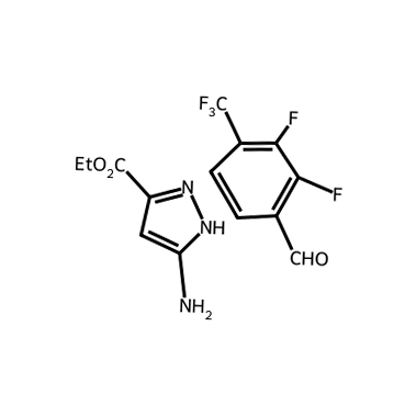 CCOC(=O)c1cc(N)[nH]n1.O=Cc1ccc(C(F)(F)F)c(F)c1F